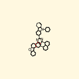 C1=Cc2c(c3ccc(-c4nc(-c5ccc6oc7ccccc7c6c5)nc(-c5cccc6cccc(-c7ccccc7)c56)n4)cc3n2-c2ccccc2)CC1